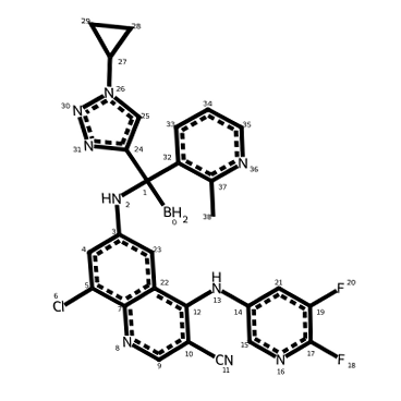 BC(Nc1cc(Cl)c2ncc(C#N)c(Nc3cnc(F)c(F)c3)c2c1)(c1cn(C2CC2)nn1)c1cccnc1C